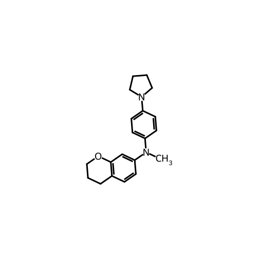 CN(c1ccc(N2CCCC2)cc1)c1ccc2c(c1)OCCC2